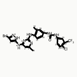 Cc1cc(Nc2cc(Br)n[nH]2)nc(Nc2ccc(NC(=O)Nc3ccc(Cl)c(C(F)(F)F)c3)cc2C)n1